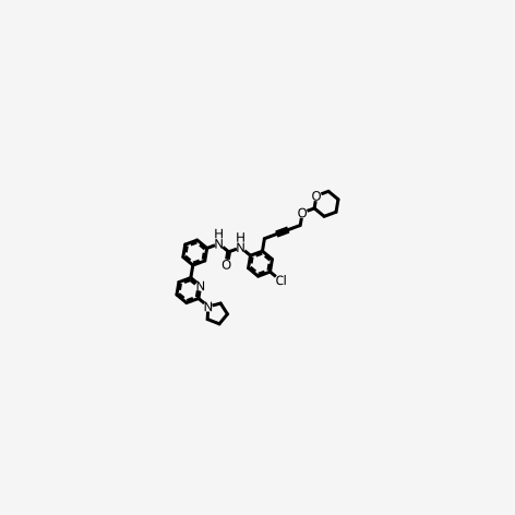 O=C(Nc1cccc(-c2cccc(N3CCCC3)n2)c1)Nc1ccc(Cl)cc1CC#CCOC1CCCCO1